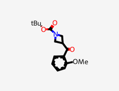 COc1ccccc1C(=O)C1CN(C(=O)OC(C)(C)C)C1